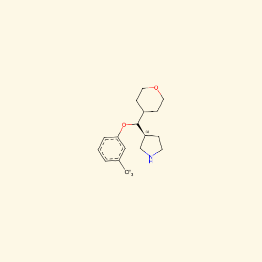 FC(F)(F)c1cccc(OC(C2CCOCC2)[C@H]2CCNC2)c1